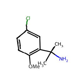 COc1ccc(Cl)cc1C(C)(C)N